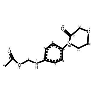 CC(=O)OCNc1ccc(N2CCOCC2=O)cc1